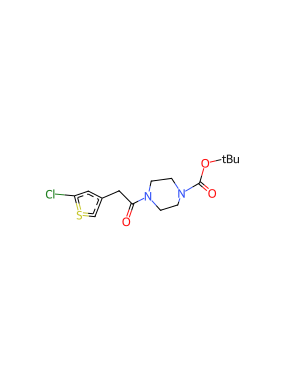 CC(C)(C)OC(=O)N1CCN(C(=O)Cc2csc(Cl)c2)CC1